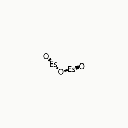 [O]=[Es][O][Es]=[O]